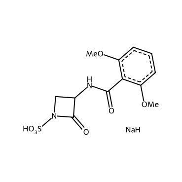 COc1cccc(OC)c1C(=O)NC1CN(S(=O)(=O)O)C1=O.[NaH]